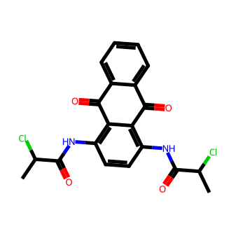 CC(Cl)C(=O)Nc1ccc(NC(=O)C(C)Cl)c2c1C(=O)c1ccccc1C2=O